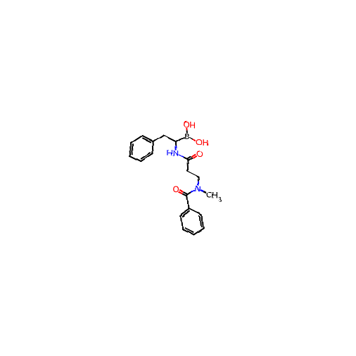 CN(CCC(=O)NC(Cc1ccccc1)B(O)O)C(=O)c1ccccc1